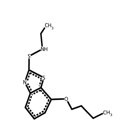 CCCCOc1cccc2nc(SNCC)sc12